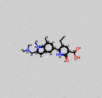 CCc1cc(C(=O)O)c(=O)[nH]c1-c1cc(C)c2c(c1)cc(CN(C)C)n2C